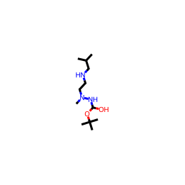 CC(C)CNCCN(C)NC(O)OC(C)(C)C